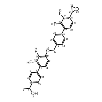 CC(O)c1ccc(-c2ccc(OCc3ccc(-c4ccc(C5CO5)c(F)c4F)cc3)c(F)c2F)cc1